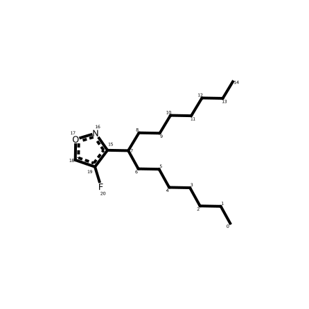 CCCCCCCC(CCCCCCC)c1nocc1F